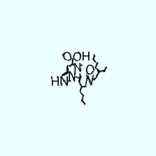 CCCCC(CC)CN(C=O)CC(CC)CCCC.CNC(Cc1c[nH]cn1)C(=O)O